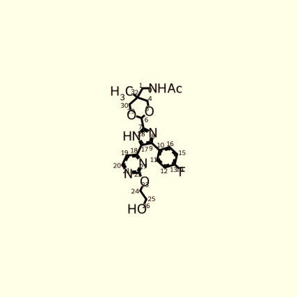 CC(=O)NCC1(C)COC(c2nc(-c3ccc(F)cc3)c(-c3ccnc(OCCO)n3)[nH]2)OC1